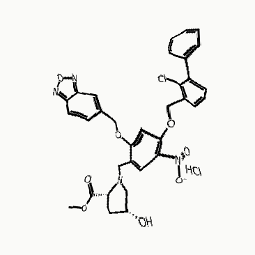 COC(=O)[C@H]1C[C@@H](O)CN1Cc1cc([N+](=O)[O-])c(OCc2cccc(-c3ccccc3)c2Cl)cc1OCc1ccc2nonc2c1.Cl